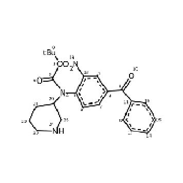 CC(C)(C)OC(=O)N(c1ccc(C(=O)c2ccccc2)cc1[N+](=O)[O-])C1CCCNC1